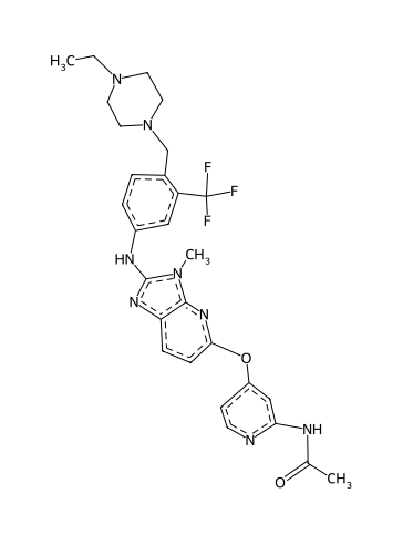 CCN1CCN(Cc2ccc(Nc3nc4ccc(Oc5ccnc(NC(C)=O)c5)nc4n3C)cc2C(F)(F)F)CC1